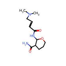 CN(C)CC=CC(=O)NC1OCCCC1C(N)=O